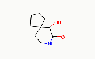 O=C1NCCC2(CCCC2)C1O